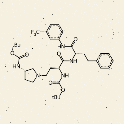 CC(C)(C)OC(=O)N[C@H]1CCN(CC[C@H](NC(=O)OC(C)(C)C)C(=O)N[C@@H](CCc2ccccc2)C(=O)Nc2cccc(C(F)(F)F)c2)C1